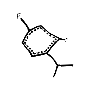 CC(C)c1ccc(F)cc1F